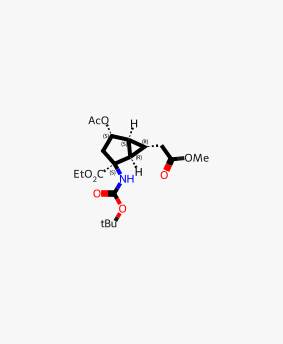 CCOC(=O)[C@]1(NC(=O)OC(C)(C)C)C[C@H](OC(C)=O)[C@H]2[C@H](CC(=O)OC)[C@H]21